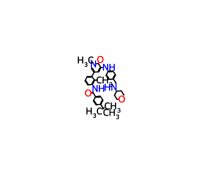 Cc1c(NC(=O)c2ccc(C(C)(C)C)cc2)cccc1-c1cc(Nc2ccc(CNC3CCOCC3)cc2)c(=O)n(C)c1